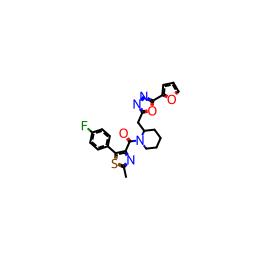 Cc1nc(C(=O)N2CCCCC2Cc2nnc(-c3ccco3)o2)c(-c2ccc(F)cc2)s1